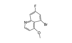 COc1ccnc2cc(F)cc(Br)c12